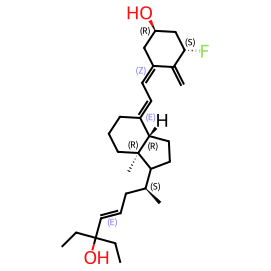 C=C1/C(=C\C=C2/CCC[C@]3(C)C([C@@H](C)C/C=C/C(O)(CC)CC)CC[C@@H]23)C[C@@H](O)C[C@@H]1F